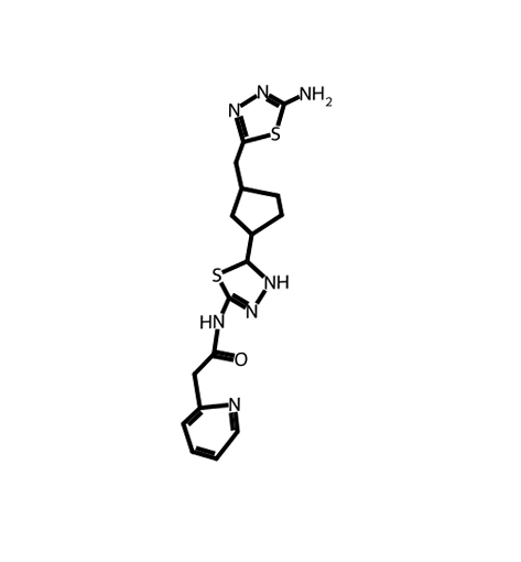 Nc1nnc(CC2CCC(C3NN=C(NC(=O)Cc4ccccn4)S3)C2)s1